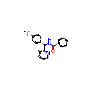 O=C(NC(c1ccc(C(F)(F)F)cc1)c1ncccc1F)c1ccccc1